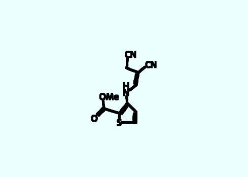 COC(=O)c1sccc1NC=C(C#N)CC#N